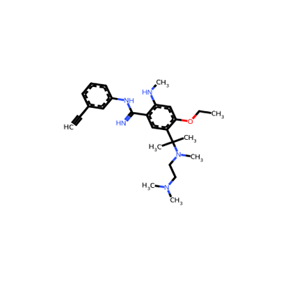 C#Cc1cccc(NC(=N)c2cc(C(C)(C)N(C)CCN(C)C)c(OCC)cc2NC)c1